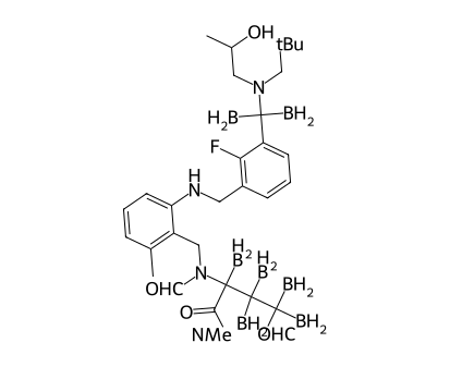 BC(B)(c1cccc(CNc2cccc(C)c2CN(C=O)C(B)(C(=O)NC)C(B)(B)C(B)(B)C=O)c1F)N(CC(C)O)CC(C)(C)C